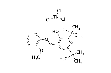 COc1ccccc1N=Cc1cc(C(C)(C)C)cc(C(C)(C)C)c1O.[Cl][Ti]([Cl])[Cl]